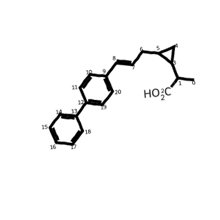 CC(C(=O)O)C1CC1CC=Cc1ccc(-c2ccccc2)cc1